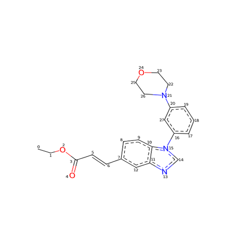 CCOC(=O)/C=C/c1ccc2c(c1)ncn2-c1cccc(N2CCOCC2)c1